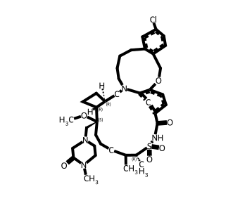 CO[C@@]1(CN2CCN(C)C(=O)C2)CCCC(C)[C@@H](C)S(=O)(=O)NC(=O)c2ccc3c(c2)N(CCCCc2cc(Cl)ccc2CO3)C[C@@H]2CC[C@H]21